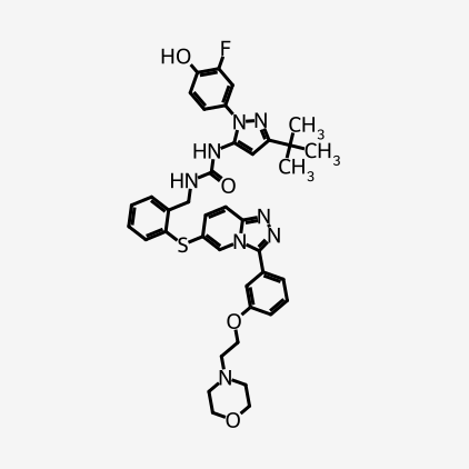 CC(C)(C)c1cc(NC(=O)NCc2ccccc2Sc2ccc3nnc(-c4cccc(OCCN5CCOCC5)c4)n3c2)n(-c2ccc(O)c(F)c2)n1